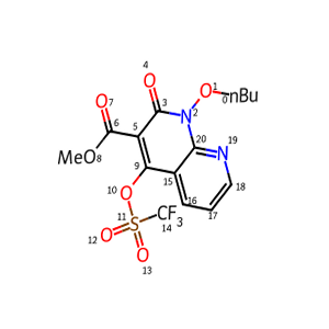 CCCCOn1c(=O)c(C(=O)OC)c(OS(=O)(=O)C(F)(F)F)c2cccnc21